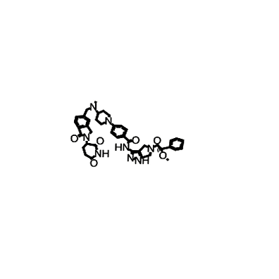 CO[C@@H](C(=O)N1Cc2[nH]nc(NC(=O)c3ccc(N4CCC(N(C)Cc5ccc6c(c5)CN(C5CCC(=O)NC5=O)C6=O)CC4)cc3)c2C1)c1ccccc1